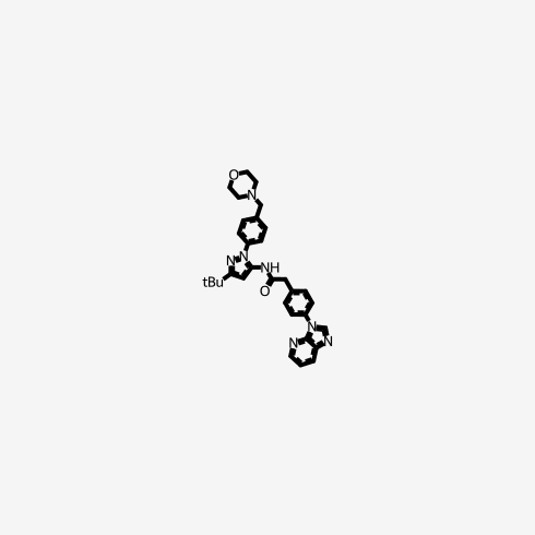 CC(C)(C)c1cc(NC(=O)Cc2ccc(-n3cnc4cccnc43)cc2)n(-c2ccc(CN3CCOCC3)cc2)n1